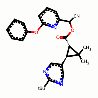 CC(C)(C)c1ncc([C@H]2[C@H](C(=O)OC(C#N)c3cccc(Oc4ccccc4)n3)C2(C)C)cn1